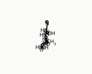 CC(=O)C(N=Nc1ccc(Nc2nc(O)nc(NCCCCCN3CCCCC3)n2)cc1)C(=O)Nc1ccc2[nH]c(=O)[nH]c2c1